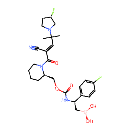 CC(C)(C=C(C#N)C(=O)N1CCCC[C@@H]1COC(=O)N[C@H](CB(O)O)c1ccc(F)cc1)N1CC[C@@H](F)C1